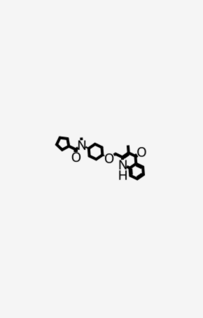 Cc1c(CO[C@H]2CC[C@H](N(C)C(=O)C3CCCC3)CC2)[nH]c2ccccc2c1=O